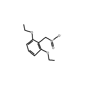 CCOc1cccc(OCC)c1C[N+](=O)[O-]